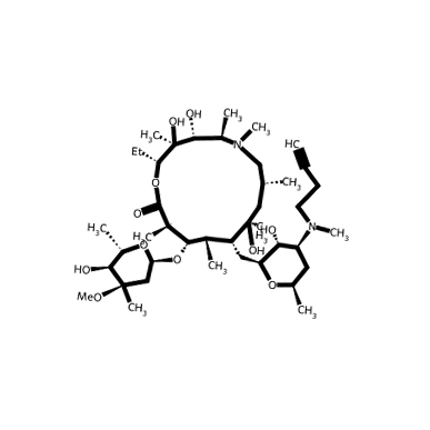 C#CCCN(C)[C@H]1C[C@@H](C)O[C@@H](C[C@@H]2[C@@H](C)[C@H](O[C@H]3C[C@@](C)(OC)[C@@H](O)[C@H](C)O3)[C@@H](C)C(=O)O[C@H](CC)[C@@](C)(O)[C@H](O)[C@@H](C)N(C)C[C@H](C)C[C@@]2(C)O)[C@@H]1O